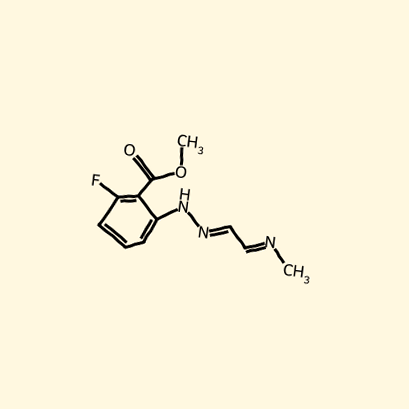 C/N=C/C=N/Nc1cccc(F)c1C(=O)OC